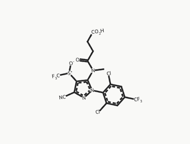 CN(C(=O)CCC(=O)O)c1c([S+]([O-])C(F)(F)F)c(C#N)nn1-c1c(Cl)cc(C(F)(F)F)cc1Cl